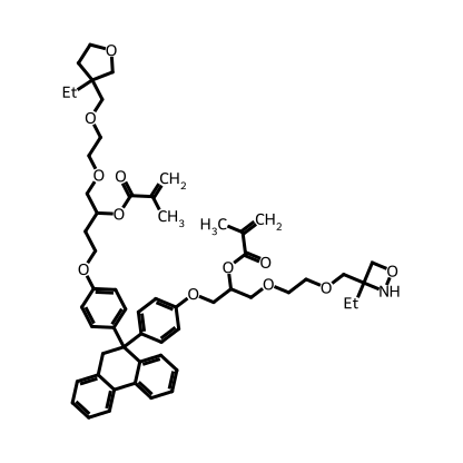 C=C(C)C(=O)OC(CCOc1ccc(C2(c3ccc(OCC(COCCOCC4(CC)CON4)OC(=O)C(=C)C)cc3)Cc3ccccc3-c3ccccc32)cc1)COCCOCC1(CC)CCOC1